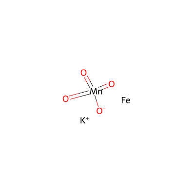 [Fe].[K+].[O]=[Mn](=[O])(=[O])[O-]